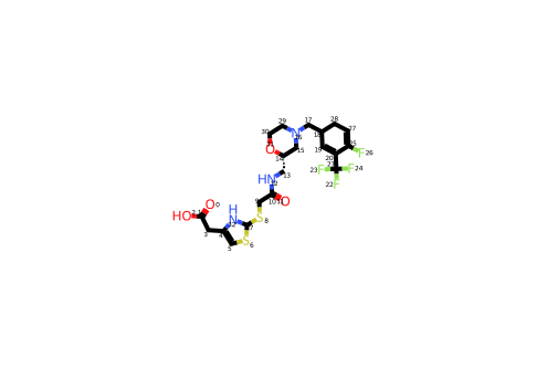 O=C(O)CC1=CSC(SCC(=O)NC[C@H]2CN(CC3C=C(C(F)(F)F)C(F)=CC3)CCO2)N1